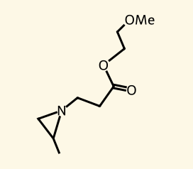 COCCOC(=O)CCN1CC1C